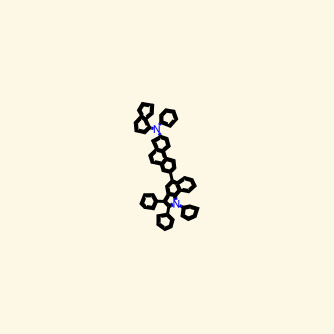 c1ccc(-c2c(-c3ccccc3)n(-c3ccccc3)c3c2cc(-c2ccc4c(ccc5cc(N(c6ccccc6)c6cccc7ccccc67)ccc54)c2)c2ccccc23)cc1